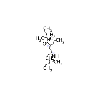 C=CC/C(=C\C=C(/CC)NC(C)C=CCC)C(=O)N(C)C(=C)CCC